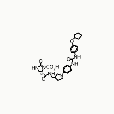 O=C(Nc1ccc(OC2CCCC2)cc1)Nc1ccc(N2CCC(CNC(=O)[C@@H]3CNC(=O)N3C(=O)O)C2)cc1